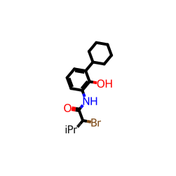 CC(C)C(Br)C(=O)Nc1cccc(C2CCCCC2)c1O